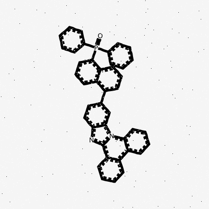 O=P(c1ccccc1)(c1ccccc1)c1cccc2c(-c3ccc4nc5c6ccccc6c6ccccc6n5c4c3)cccc12